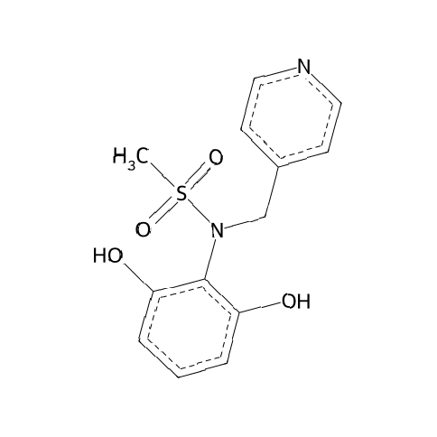 CS(=O)(=O)N(Cc1ccncc1)c1c(O)cccc1O